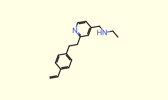 C=Cc1ccc(CCc2cc(CNCC)ccn2)cc1